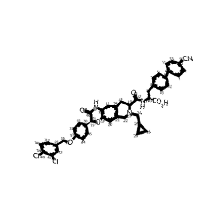 N#Cc1ccc(-c2ccc(C[C@H](NC(=O)C3Cc4cc5c(cc4CN3CC3CC3)O[C@@H](c3ccc(OCc4ccc(Cl)c(Cl)c4)cc3)C(=O)N5)C(=O)O)cc2)cc1